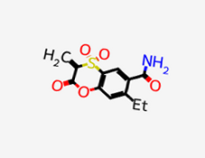 C=C1C(=O)Oc2cc(CC)c(C(N)=O)cc2S1(=O)=O